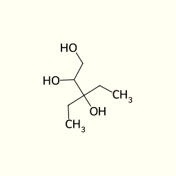 CCC(O)(CC)C(O)CO